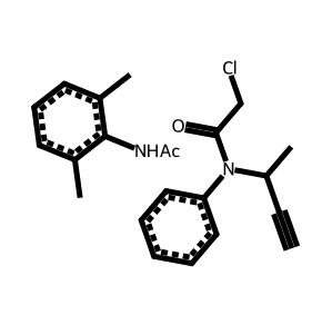 C#CC(C)N(C(=O)CCl)c1ccccc1.CC(=O)Nc1c(C)cccc1C